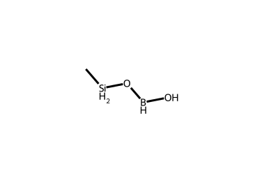 C[SiH2]OBO